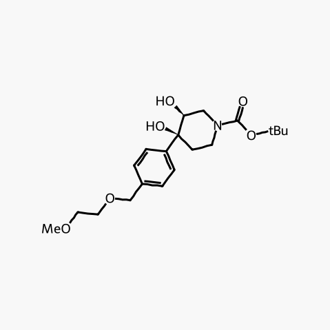 COCCOCc1ccc([C@@]2(O)CCN(C(=O)OC(C)(C)C)C[C@@H]2O)cc1